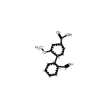 COc1cc(C(=O)O)ccc1-c1ccccc1C#N